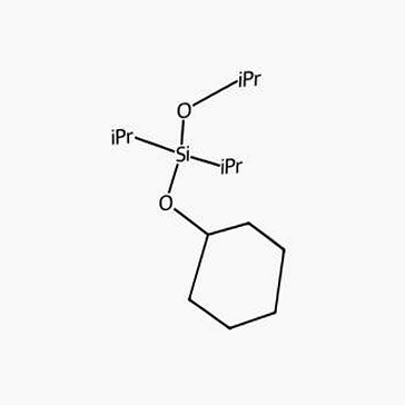 CC(C)O[Si](OC1CCCCC1)(C(C)C)C(C)C